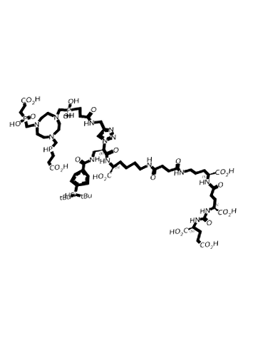 CC(C)(C)[SiH](c1ccc(C(=O)NC[C@H](C(=O)N[C@@H](CCCCNC(=O)CCC(=O)NCCC[C@H](NC(=O)CC[C@H](NC(=O)N[C@@H](CCC(=O)O)C(=O)O)C(=O)O)C(=O)O)C(=O)O)n2cc(CNC(=O)CC[PH](O)(O)CN3CCN(CPCCC(=O)O)CCN(CP(=O)(O)CCC(=O)O)CC3)nn2)cc1)C(C)(C)C